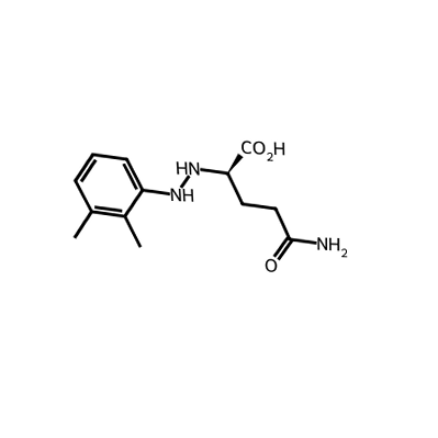 Cc1cccc(NN[C@H](CCC(N)=O)C(=O)O)c1C